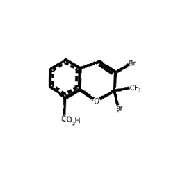 O=C(O)c1cccc2c1OC(Br)(C(F)(F)F)C(Br)=C2